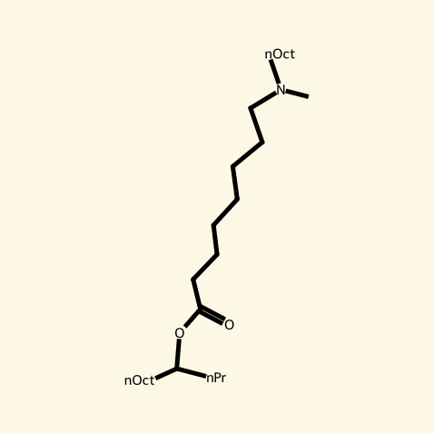 CCCCCCCCC(CCC)OC(=O)CCCCCCCN(C)CCCCCCCC